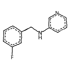 Fc1cccc(CNc2cccnc2)c1